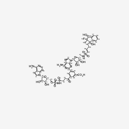 Nc1ncnc2c1ncn2[C@@H]1O[C@H](COS(=O)(=O)NC(=O)CCC(=O)c2cc(C(=O)O)cc(-c3nc(N)c4ncn([C@@H]5O[C@H](CNS(=O)(=O)/C=C/CCC6(O)c7ccccc7C(O)C6(F)F)[C@@H](O)[C@H]5O)c4n3)c2)[C@@H](O)[C@H]1O